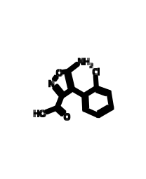 Nc1onc(C(=O)O)c1-c1ccccc1Cl